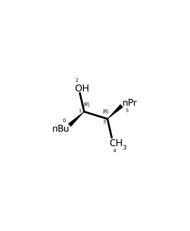 CCCC[C@@H](O)[C@H](C)CCC